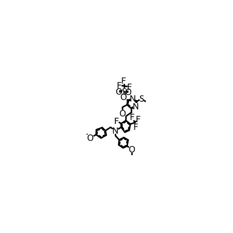 COc1ccc(CN(Cc2ccc(OC)cc2)c2ccc(C(F)(F)F)c(C3Cc4nc(SC)nc(OS(=O)(=O)C(F)(F)F)c4CO3)c2F)cc1